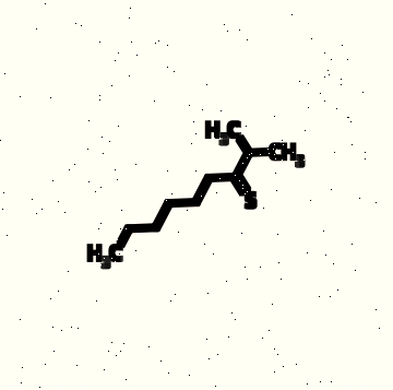 CCCCCCC(=S)C(C)C